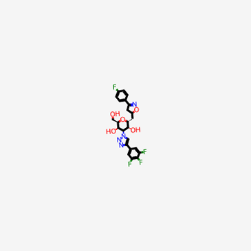 OC[C@H]1O[C@H](CC2CC(c3ccc(F)cc3)=NO2)[C@H](O)[C@@H](n2cc(-c3cc(F)c(F)c(F)c3)nn2)[C@H]1O